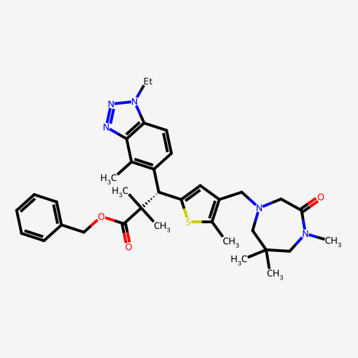 CCn1nnc2c(C)c([C@H](c3cc(CN4CC(=O)N(C)CC(C)(C)C4)c(C)s3)C(C)(C)C(=O)OCc3ccccc3)ccc21